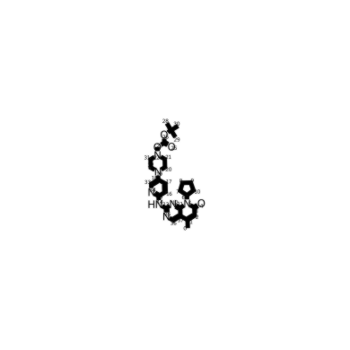 Cc1cc(=O)n(C2CCCC2)c2nc(Nc3ccc(N4CCN(OC(=O)OC(C)(C)C)CC4)cn3)ncc12